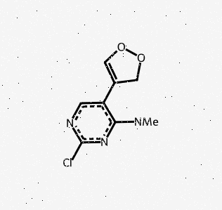 CNc1nc(Cl)ncc1C1=COOC1